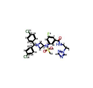 CC(CNC(=O)c1cc(F)cc(N(C2CN(C(c3ccc(Cl)cc3)c3ccc(Cl)cc3)C2)S(C)(=O)=O)c1)n1cncn1